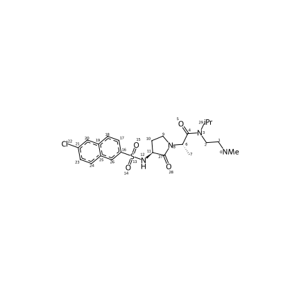 CNCCN(C(=O)[C@H](C)N1CC[C@H](NS(=O)(=O)c2ccc3cc(Cl)ccc3c2)C1=O)C(C)C